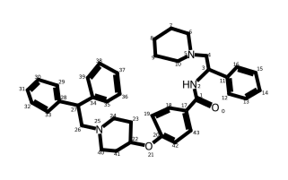 O=C(NC(CN1CCCCC1)c1ccccc1)c1ccc(OC2CCN(CC(c3ccccc3)c3ccccc3)CC2)cc1